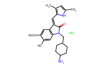 COc1cc2c(cc1C#N)N(CC1CCC(N)CC1)C(=O)/C2=C\c1[nH]c(C)cc1C.Cl